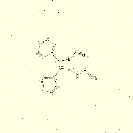 C=CNc1c(-c2ccccc2)n(-c2ccccc2)n1C=C